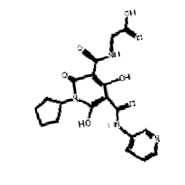 O=C(O)CNC(=O)c1c(O)c(C(=O)Nc2cccnc2)c(O)n(C2CCCC2)c1=O